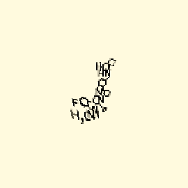 Cn1cnnc1-c1cc(F)ccc1-c1cc(C2CC2)nc(N2Cc3ccc(CNCC4(O)CCCC4)cc3C2=O)c1